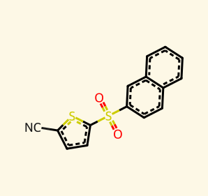 N#Cc1ccc(S(=O)(=O)c2ccc3ccccc3c2)s1